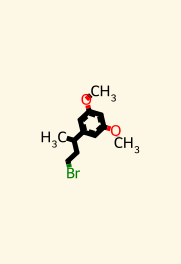 COc1cc(OC)cc(C(C)CCBr)c1